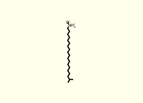 CC(C)CCCCCCCCCCCCCCCCC[NH2+][O-]